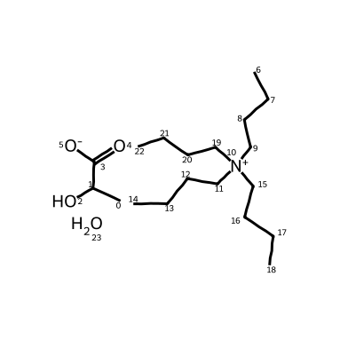 CC(O)C(=O)[O-].CCCC[N+](CCCC)(CCCC)CCCC.O